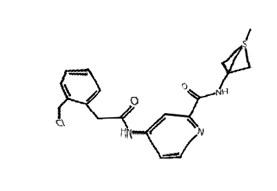 CS12CC(NC(=O)c3cc(NC(=O)Cc4ccccc4Cl)ccn3)(C1)C2